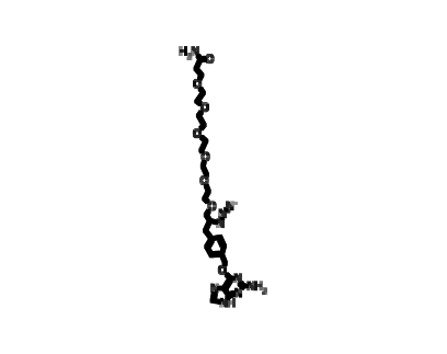 [N-]=[N+]=NC(COCCOCCOCCOCCOCCOCCC(N)=O)Cc1ccc(COc2nc(N)nc3[nH]cnc23)cc1